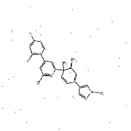 Cn1cc(C2=CC(N)C(N)(c3cc(-c4ncc(F)cc4F)cc(Cl)n3)C=C2)cn1